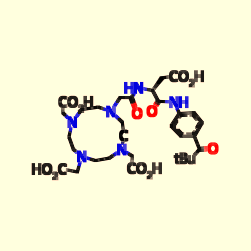 CC(C)(C)C(=O)c1ccc(NC(=O)[C@H](CC(=O)O)NC(=O)CN2CCN(CC(=O)O)CCN(CC(=O)O)CCN(CC(=O)O)CC2)cc1